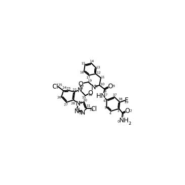 NC(=O)c1ccc(NC(=O)C(Cc2ccccc2)N2CON(c3cc(Cl)ccc3-n3cc(Cl)nn3)CO2)cc1F